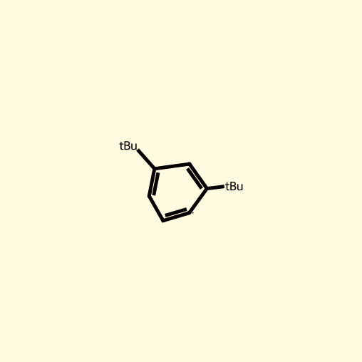 CC(C)(C)c1[c]ccc(C(C)(C)C)c1